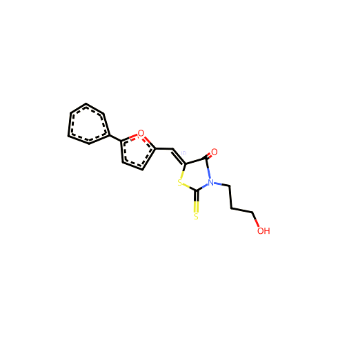 O=C1/C(=C/c2ccc(-c3ccccc3)o2)SC(=S)N1CCCO